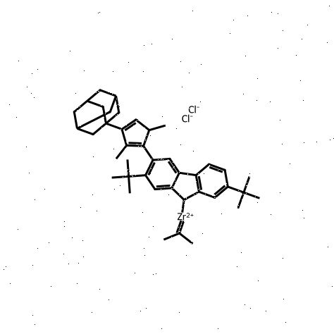 C[C](C)=[Zr+2][CH]1c2cc(C(C)(C)C)ccc2-c2cc(C3=C(C)C(C45CC6CC(CC(C6)C4)C5)=CC3C)c(C(C)(C)C)cc21.[Cl-].[Cl-]